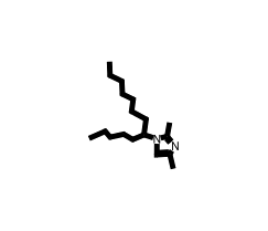 CCCCCCCC(CCCCC)n1cc(C)nc1C